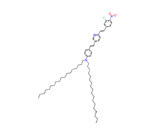 CCCCCCCCCCCCCCCCCCN(CCCCCCCCCCCCCCCCCC)c1ccc(C=Cc2ccc(C=Cc3ccc([N+](=O)[O-])c(F)c3)nc2)cc1